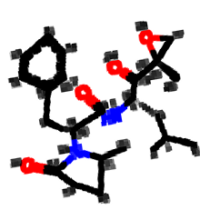 CC(C)C[C@H](NC(=O)[C@H](Cc1ccccc1)N1C(=O)CCC1C)C(=O)[C@@]1(C)CO1